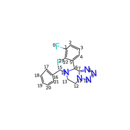 Fc1cccc(C2c3nnnn3CCN2Cc2ccccc2)c1F